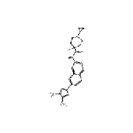 Cc1cc(-c2ccc3cnc(NC(=O)C4(F)CCN(C5CC5)CC4)cc3c2)cn1C